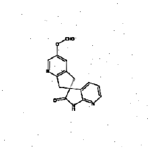 O=COc1cnc2c(c1)C[C@@]1(C2)C(=O)Nc2ncccc21